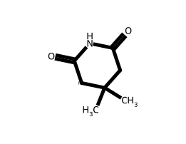 CC1(C)[C]C(=O)NC(=O)C1